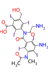 CC(=O)N(C)c1c(I)c(N)c(I)c(C(=O)N(C(=O)CN)c2c(I)c(CO)c(I)c(C(=O)O)c2I)c1I